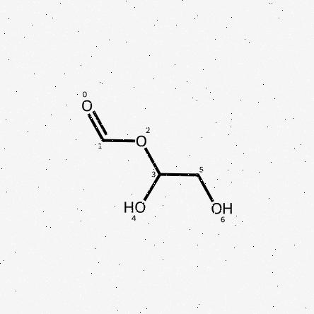 O=COC(O)CO